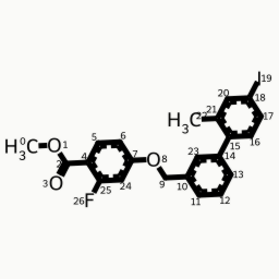 COC(=O)c1ccc(OCc2cccc(-c3ccc(I)cc3C)c2)cc1F